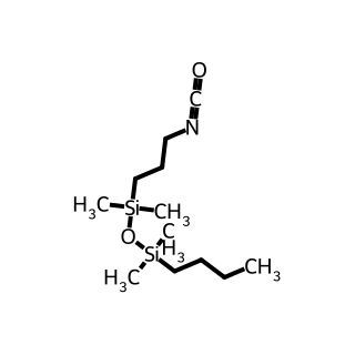 CCCC[Si](C)(C)O[Si](C)(C)CCCN=C=O